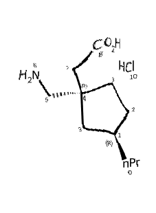 CCC[C@@H]1CC[C@](CN)(CC(=O)O)C1.Cl